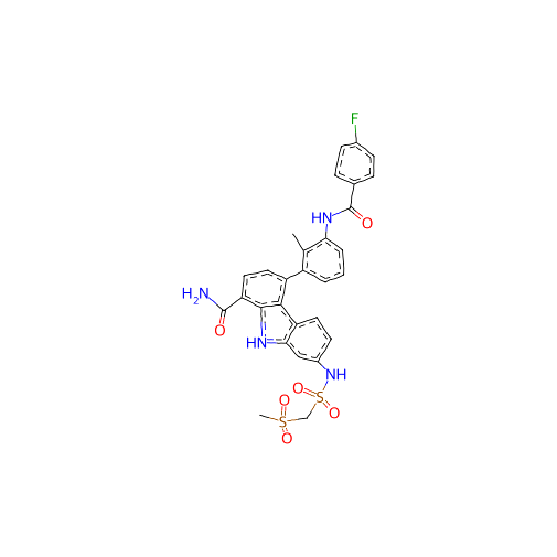 Cc1c(NC(=O)c2ccc(F)cc2)cccc1-c1ccc(C(N)=O)c2[nH]c3cc(NS(=O)(=O)CS(C)(=O)=O)ccc3c12